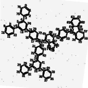 c1ccc(-c2cc(-c3ccccc3)cc(-c3ccc(N(c4ccc(-c5cc(-c6ccccc6)cc(-c6ccccc6)c5)cc4)c4ccc(-c5ccc(-n6c7ccccc7c7ccccc76)cc5)c5nsnc45)cc3)c2)cc1